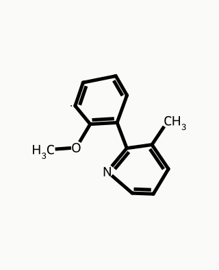 COc1[c]cccc1-c1ncccc1C